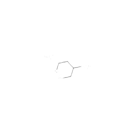 N[C@@H](CC(C[18F])C(=O)O)C(=O)O